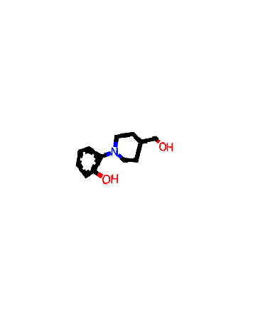 OCC1CCN(c2ccccc2O)CC1